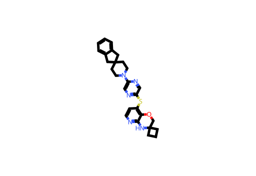 c1ccc2c(c1)CC1(CCN(c3cnc(Sc4ccnc5c4OCC4(CCC4)N5)cn3)CC1)C2